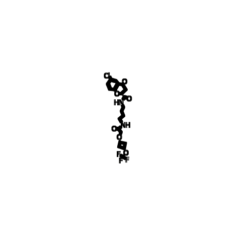 O=C(CO[C@H]1C[C@@H](OC(F)(F)F)C1)NCCCCNC(=O)[C@H]1CC(=O)c2cc(Cl)ccc2O1